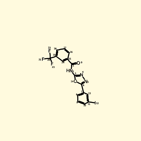 O=C(Nc1nnc(-c2cccc(I)c2)o1)c1cccc(C(F)(F)F)c1